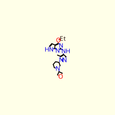 CCOc1nc(Nc2cnn([C@@H]3CCCN(C4COC4)C3)c2C)nc2[nH]ccc12